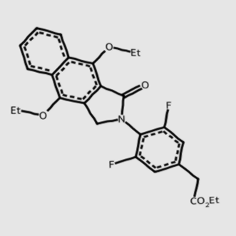 CCOC(=O)Cc1cc(F)c(N2Cc3c(c(OCC)c4ccccc4c3OCC)C2=O)c(F)c1